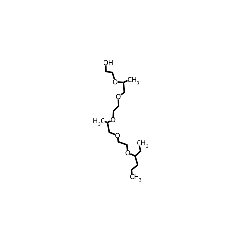 CCCC(CC)OCCOCC(C)OCCOCC(C)OCCO